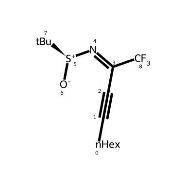 CCCCCCC#C/C(=N\[S@@+]([O-])C(C)(C)C)C(F)(F)F